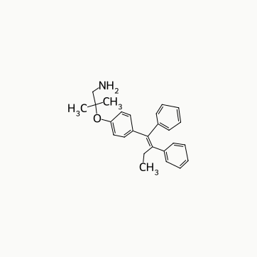 CCC(=C(c1ccccc1)c1ccc(OC(C)(C)CN)cc1)c1ccccc1